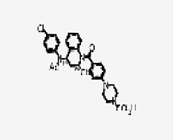 CC(=O)N(c1ccc(Cl)cc1)[C@@H]1C[C@H](C)N(C(=O)c2ccc(N3CCN(C(=O)O)CC3)cc2)c2ccccc21